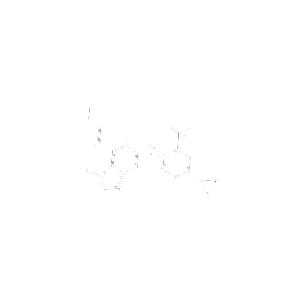 COCC=Cc1cc(Nc2ncc(C3CC3)cc2C(=O)O)cc2ccn(C)c12